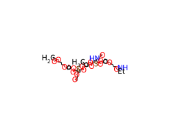 C=CC(=O)OCCCCOc1ccc(OC(=O)c2sc(C(=O)Oc3ccc(OC(=O)C4=CC(NCC5CO5)C(C(=O)Oc5ccc(OCCCCOC(=N)CC)cc5)S4)cc3C)cc2OCC2CO2)cc1